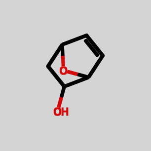 OC1CC2C=CC1O2